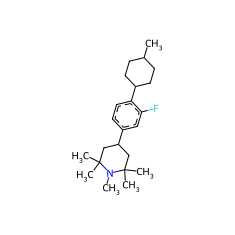 CC1CCC(c2ccc(C3CC(C)(C)N(C)C(C)(C)C3)cc2F)CC1